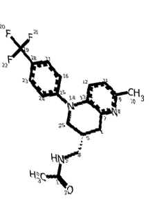 CC(=O)NC[C@H]1Cc2nc(C)ccc2N(c2ccc(C(F)(F)F)cc2)C1